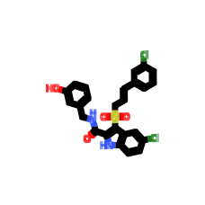 O=C(NCc1cccc(O)c1)c1[nH]c2ccc(Cl)cc2c1S(=O)(=O)CC=Cc1cccc(Cl)c1